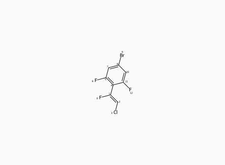 F/C(=C\Cl)c1c(F)cc(Br)cc1F